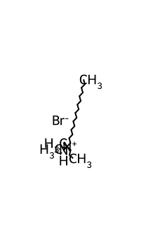 CCCCCCCCCCCCCCCC[N+](C)(CCC)NC.[Br-]